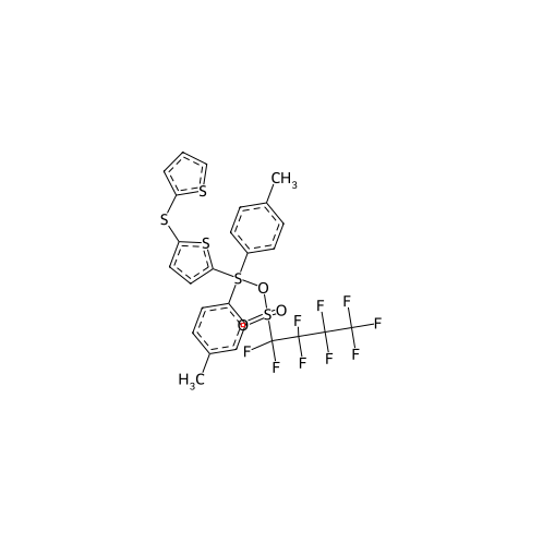 Cc1ccc(S(OS(=O)(=O)C(F)(F)C(F)(F)C(F)(F)C(F)(F)F)(c2ccc(C)cc2)c2ccc(Sc3cccs3)s2)cc1